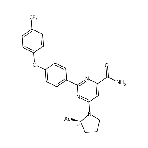 CC(=O)[C@@H]1CCCN1c1cc(C(N)=O)nc(-c2ccc(Oc3ccc(C(F)(F)F)cc3)cc2)n1